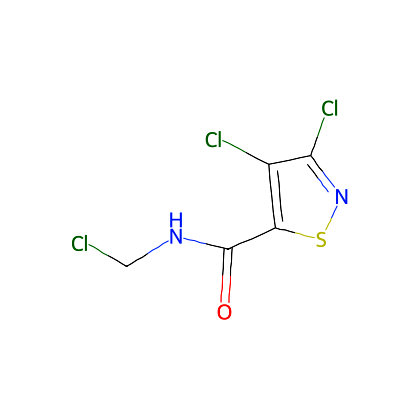 O=C(NCCl)c1snc(Cl)c1Cl